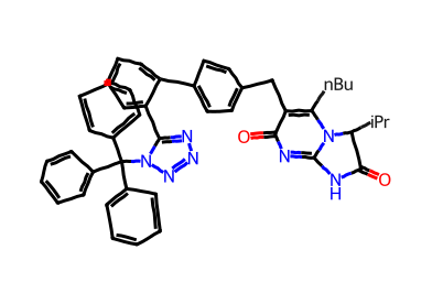 CCCCc1c(Cc2ccc(-c3ccccc3-c3nnnn3C(c3ccccc3)(c3ccccc3)c3ccccc3)cc2)c(=O)nc2n1C(C(C)C)C(=O)N2